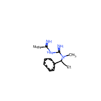 CCC(c1ccccc1)N(C)C(=N)NC(=N)NC